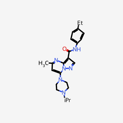 CCc1ccc(NC(=O)c2cnn3c(N4CCN(C(C)C)CC4)cc(C)nc23)cc1